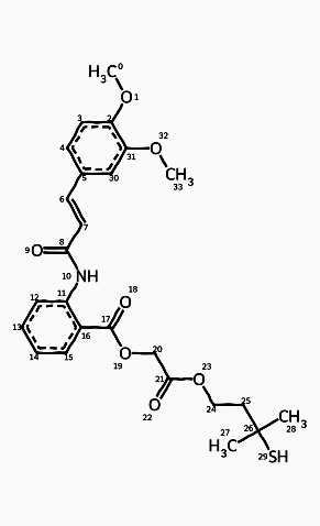 COc1ccc(/C=C/C(=O)Nc2ccccc2C(=O)OCC(=O)OCCC(C)(C)S)cc1OC